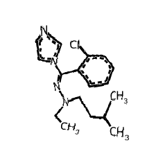 CCN(CCC(C)C)/N=C(\c1ccccc1Cl)n1ccnc1